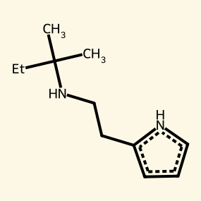 CCC(C)(C)NCCc1ccc[nH]1